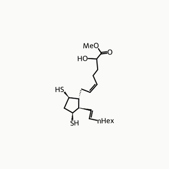 CCCCCC/C=C/[C@@H]1[C@@H](C/C=C\CCC(O)C(=O)OC)[C@H](S)C[C@@H]1S